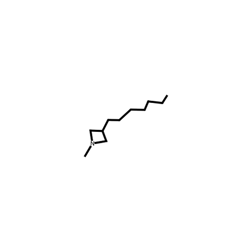 CCCCCCCC1CN(C)C1